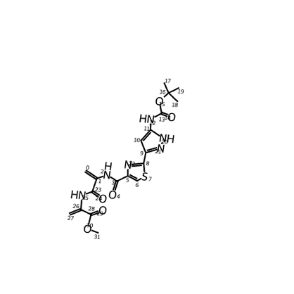 C=C(NC(=O)c1csc(-c2cc(NC(=O)OC(C)(C)C)[nH]n2)n1)C(=O)NC(=C)C(=O)OC